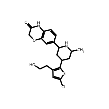 CC1CC(c2sc(Cl)cc2CCO)CC(c2ccc3c(c2)OCC(=O)N3)N1